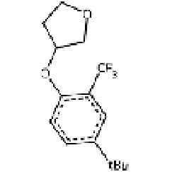 CC(C)(C)c1ccc(OC2CCOC2)c(C(F)(F)F)c1